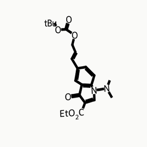 CCOC(=O)c1cn(N(C)C)c2ccc(C=CCOC(=O)OC(C)(C)C)cc2c1=O